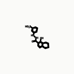 O=C(NNc1cccc(S(=O)(=O)O)c1)c1ccc2ccccc2c1O